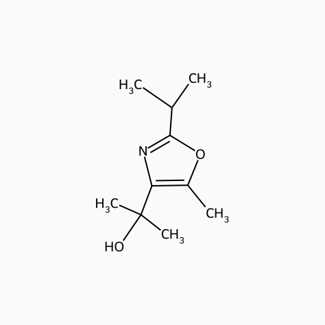 Cc1oc(C(C)C)nc1C(C)(C)O